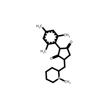 Cc1cc(C)c(C2C(=O)CC(CC3CCCCN3C)C2=O)c(C)c1